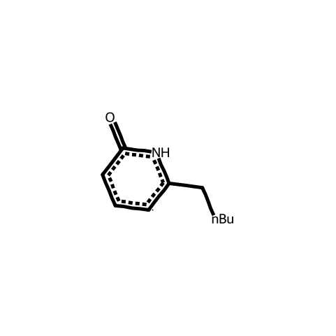 CCCCCc1[c]ccc(=O)[nH]1